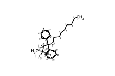 CCC=CCCCCOC([SiH2]C(C)(C)C)(c1ccccc1)c1ccccc1